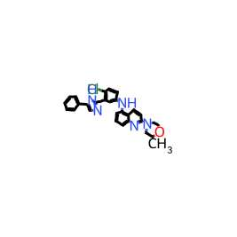 C[C@@H]1CN(c2ccc3c(Nc4ccc(Cl)c(-c5ncc(-c6ccccc6)[nH]5)c4)cccc3n2)CCO1